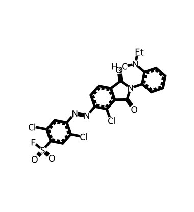 CCN(C)c1ccccc1N1C(=O)c2ccc(N=Nc3cc(Cl)c(S(=O)(=O)F)cc3Cl)c(Cl)c2C1=O